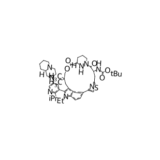 CCn1c(-c2cc(N3CCN4CCCC[C@@H]4C3)cnc2C(C)C)c2c3cc(ccc31)-c1csc(n1)C[C@H](NC(=O)OC(C)(C)C)C(=O)N1CCC[C@H](N1)C(=O)OCC(C)(C)C2